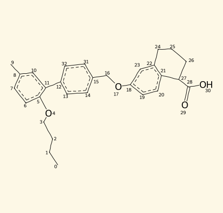 CCCCOc1ccc(C)cc1-c1ccc(COc2ccc3c(c2)CCCC3C(=O)O)cc1